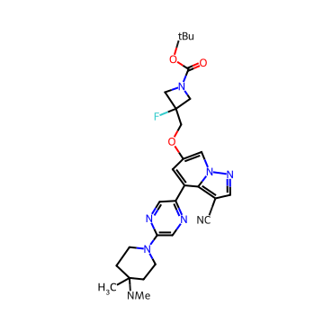 CNC1(C)CCN(c2cnc(-c3cc(OCC4(F)CN(C(=O)OC(C)(C)C)C4)cn4ncc(C#N)c34)cn2)CC1